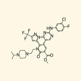 COC(=O)c1cc2c3cnc(Nc4ccc(F)c(Cl)c4)nc3n3nc(C(F)(F)F)cc3c2n(CCN2CCN(C(C)C)CC2)c1=O